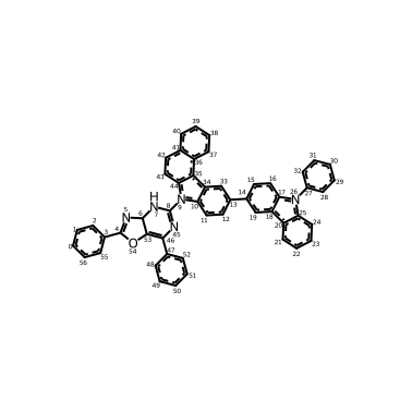 c1ccc(C2=NC3NC(n4c5ccc(-c6ccc7c(c6)c6ccccc6n7-c6ccccc6)cc5c5c6ccccc6ccc54)=NC(c4ccccc4)=C3O2)cc1